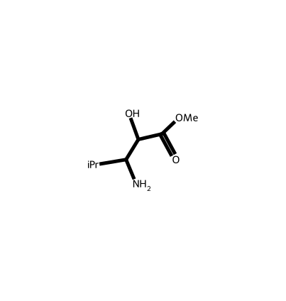 COC(=O)C(O)C(N)C(C)C